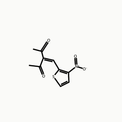 CC(=O)C(=Cc1sccc1[N+](=O)[O-])C(C)=O